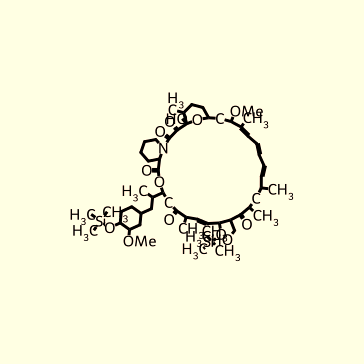 COC1CC2CCC(C)C(O)(O2)C(=O)C(=O)N2CCCCC2C(=O)OC(C(C)CC2CCC(O[Si](C)(C)C)C(OC)C2)CC(=O)C(C)/C=C(\C)C(O[Si](C)(C)C)C(CO)C(=O)C(C)CC(C)/C=C/C=C/C=C/1C